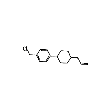 C=CC[C@H]1CC[C@H](c2ccc(CCl)cc2)CC1